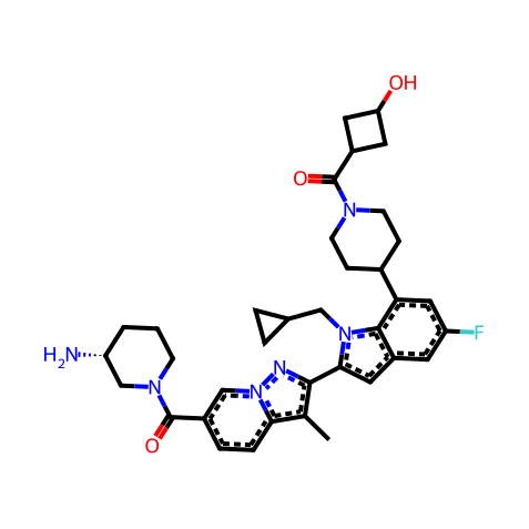 Cc1c(-c2cc3cc(F)cc(C4CCN(C(=O)C5CC(O)C5)CC4)c3n2CC2CC2)nn2cc(C(=O)N3CCC[C@@H](N)C3)ccc12